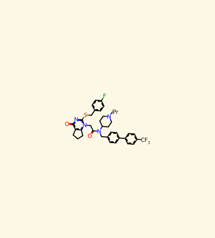 CC(C)N1CCC(N(Cc2ccc(-c3ccc(C(F)(F)F)cc3)cc2)C(=O)Cn2c(SCc3ccc(F)cc3)nc(=O)c3c2CCC3)CC1